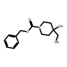 N#CC1(CO)CCN(C(=O)OCc2ccccc2)CC1